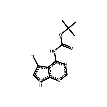 CC(C)(C)OC(=O)Nc1ncnc2[nH]cc(Cl)c12